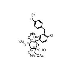 CCCCO[C@@H]1[C@@H](OCCCC)[C@](OC)(c2ccc(Cl)c(Cc3ccc(OCC)cc3)c2)O[C@](C=O)(COC(C)=O)[C@H]1OCCCC